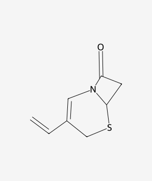 C=CC1=CN2C(=O)CC2SC1